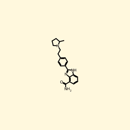 CC1CCCN1CCc1ccc(-c2nc3c(C(N)=O)cccc3[nH]2)cc1